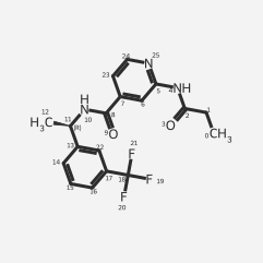 CCC(=O)Nc1cc(C(=O)N[C@H](C)c2cccc(C(F)(F)F)c2)ccn1